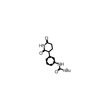 CCCCC(=O)Nc1cccc(C2CCC(=O)NC2=O)c1